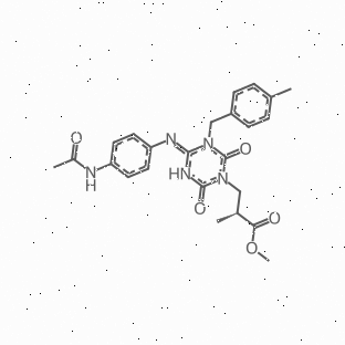 COC(=O)[C@@H](C)Cn1c(=O)[nH]/c(=N\c2ccc(NC(C)=O)cc2)n(Cc2ccc(C)cc2)c1=O